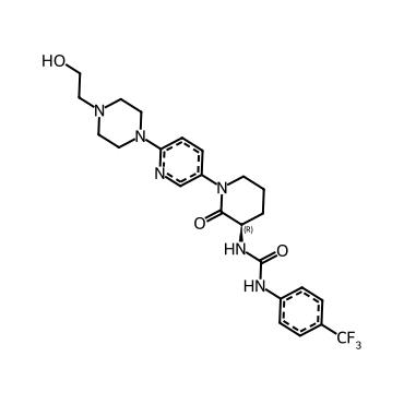 O=C(Nc1ccc(C(F)(F)F)cc1)N[C@@H]1CCCN(c2ccc(N3CCN(CCO)CC3)nc2)C1=O